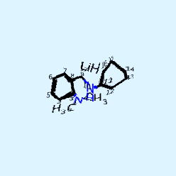 CN(C)c1ccccc1CNC1CCCCC1.[LiH]